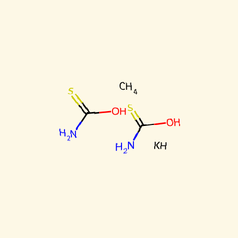 C.NC(O)=S.NC(O)=S.[KH]